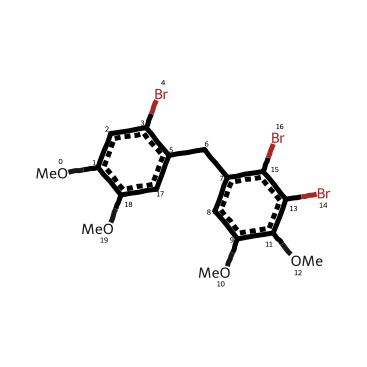 COc1cc(Br)c(Cc2cc(OC)c(OC)c(Br)c2Br)cc1OC